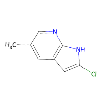 Cc1cnc2[nH]c(Cl)cc2c1